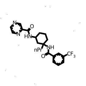 CCCC1(NC(=O)c2cccc(C(F)(F)F)c2)CCCC(NC(=O)c2cnccn2)C1